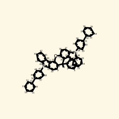 CC1(c2ccccc2)c2ccc3c(c2Oc2ccc4c(c21)c1ccccc1n4-c1ccc(-c2ccccc2)cc1)c1ccccc1n3-c1ccc(-c2ccccc2)cc1